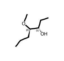 CCC[C@@H](OC)[C@@H](O)CC